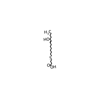 CCCCC(O)C=CCCCCCCCSCCCC(=O)O